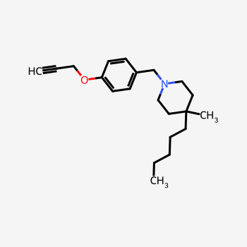 C#CCOc1ccc(CN2CCC(C)(CCCCC)CC2)cc1